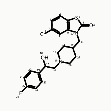 O=c1sc2ccc(Cl)cc2n1CC1CCN(CC(O)c2ccc(F)cc2)CC1